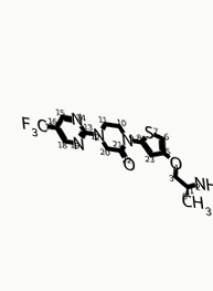 C[C@H](N)COc1csc(N2CCN(c3ncc(C(F)(F)F)cn3)CC2=O)c1